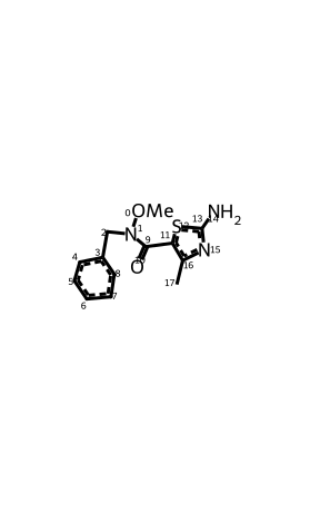 CON(Cc1ccccc1)C(=O)c1sc(N)nc1C